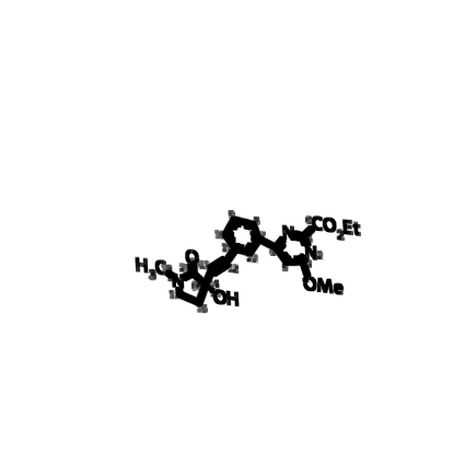 CCOC(=O)c1nc(OC)cc(-c2cccc(C#C[C@]3(O)CCN(C)C3=O)c2)n1